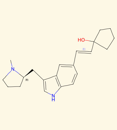 CN1CCC[C@@H]1Cc1c[nH]c2ccc(/C=C/C3(O)CCCC3)cc12